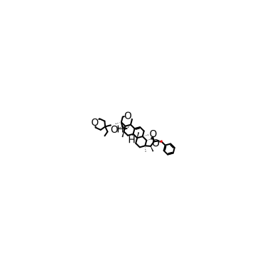 CCC1(CO[C@H]2[C@H](C)C[C@@]34COC[C@@]2(C)[C@@H]3CC[C@H]2C4=CC[C@@]3(C)[C@H](C(=O)OCc4ccccc4)[C@@](C)([C@H](C)C(C)C)CC[C@]23C)CCOCC1